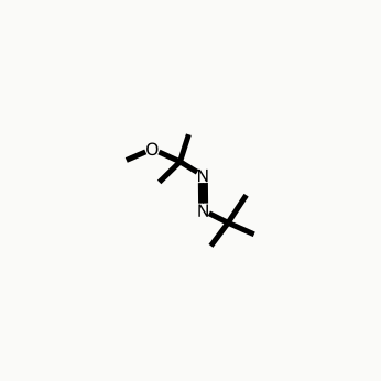 COC(C)(C)N=NC(C)(C)C